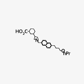 CCCOCCCCc1ccc2cc(CN3CC(C4CCCC(C(=O)O)C4)C3)ccc2c1